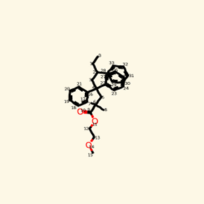 CCC(CC(CC(C)(C)C(=O)OCCOC)(c1ccccc1)c1ccccc1)c1ccccc1